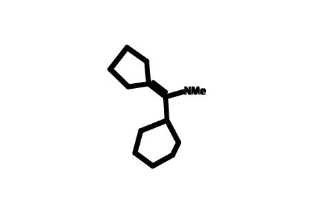 CNC(=C1CCCC1)C1CCCCC1